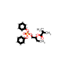 C=C(C)C(=O)OC(CC)COP(=O)(Oc1ccccc1)Oc1ccccc1